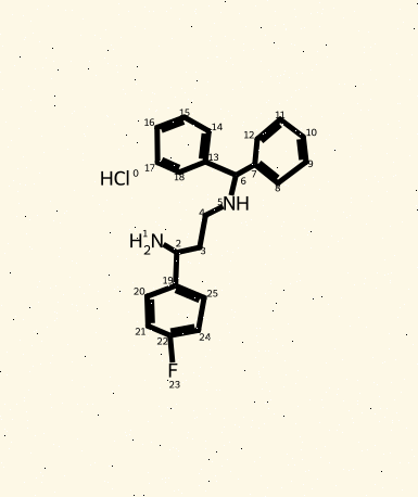 Cl.NC(CCNC(c1ccccc1)c1ccccc1)c1ccc(F)cc1